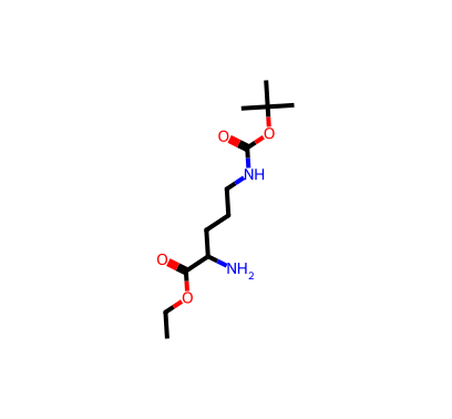 CCOC(=O)C(N)CCCNC(=O)OC(C)(C)C